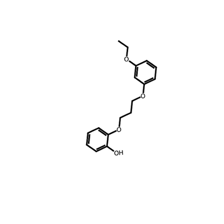 CCOc1cccc(OCCCOc2ccccc2O)c1